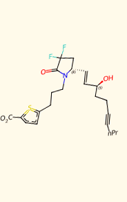 CCCC#CCC[C@H](O)C=C[C@H]1CC(F)(F)C(=O)N1CCCc1ccc(C(=O)O)s1